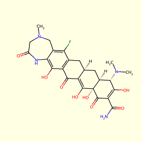 CN1CC(=O)Nc2c(O)c3c(c(F)c2C1)C[C@H]1C[C@H]2[C@H](N(C)C)C(O)=C(C(N)=O)C(=O)[C@@]2(O)C(O)=C1C3=O